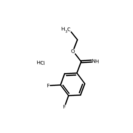 CCOC(=N)c1ccc(F)c(F)c1.Cl